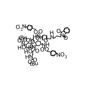 CN(C(=O)OC(C)(C)C)[C@@H]1[C@@H](O)[C@@H](O[C@H]2[C@H](NC(=O)[C@@H](O)CNC(=O)OC(C)(C)C)C[C@H](NC(=O)OCc3ccc([N+](=O)[O-])cc3)C([C@H]3OC(CNCCCN4C(=O)c5ccccc5C4=O)=CC[C@H]3NC(=O)OCc3ccc([N+](=O)[O-])cc3)[C@@H]2O)OC[C@]1(C)O